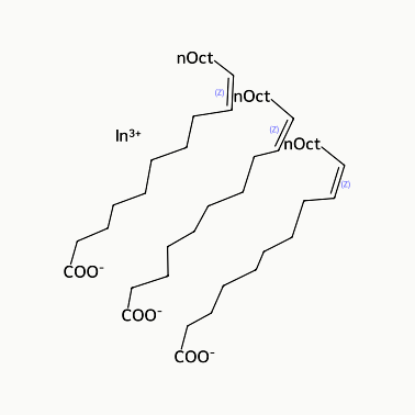 CCCCCCCC/C=C\CCCCCCCC(=O)[O-].CCCCCCCC/C=C\CCCCCCCC(=O)[O-].CCCCCCCC/C=C\CCCCCCCC(=O)[O-].[In+3]